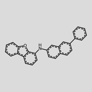 c1ccc(-c2ccc3ccc(Nc4cccc5c4oc4ccccc45)cc3c2)cc1